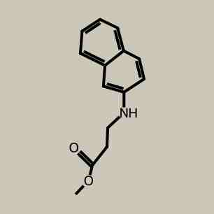 COC(=O)CCNc1ccc2ccccc2c1